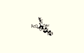 CC(=O)OC[C@H]1O[C@@H](n2ccc(-n3cncn3)nc2=O)[C@H](OC(C)=O)[C@@H]1CN=[N+]=[N-]